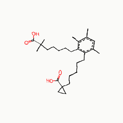 Cc1cc(C)c(CCCCCC2(C(=O)O)CC2)c(CCCCCC(C)(C)C(=O)O)c1C